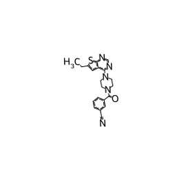 CCc1cc2c(N3CCN(C(=O)c4cccc(C#N)c4)CC3)ncnc2s1